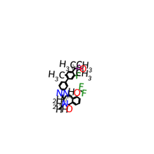 [2H]C([2H])([2H])N1C(=O)c2cccc(OC(F)F)c2[C@H]2C[C@@H]1c1nc3ccc(-c4cc(F)c([C@H](C)P(C)(C)=O)cc4C)cc3n12